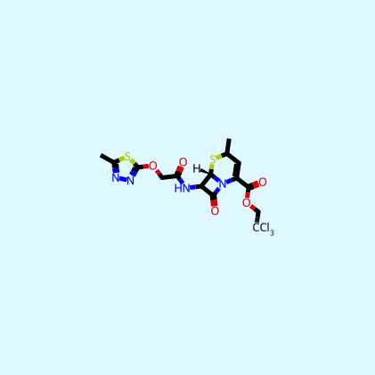 Cc1nnc(OCC(=O)NC2C(=O)N3C(C(=O)OCC(Cl)(Cl)Cl)=CC(C)S[C@@H]23)s1